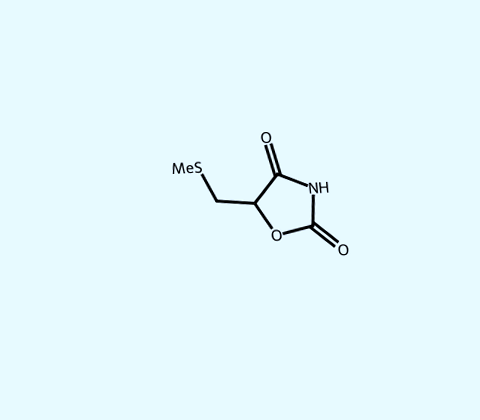 CSCC1OC(=O)NC1=O